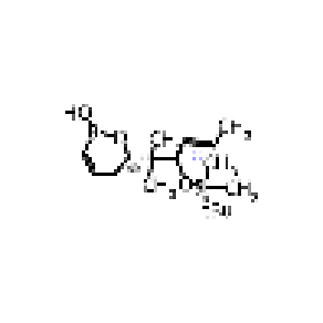 C/C=C/C(O[Si](C)(C)C(C)(C)C)C(C)(C)[C@@H]1CC=CB(O)O1